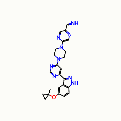 CC1(Oc2ccc3[nH]nc(-c4cc(N5CCN(c6cnc(C=N)cn6)CC5)ncn4)c3c2)CC1